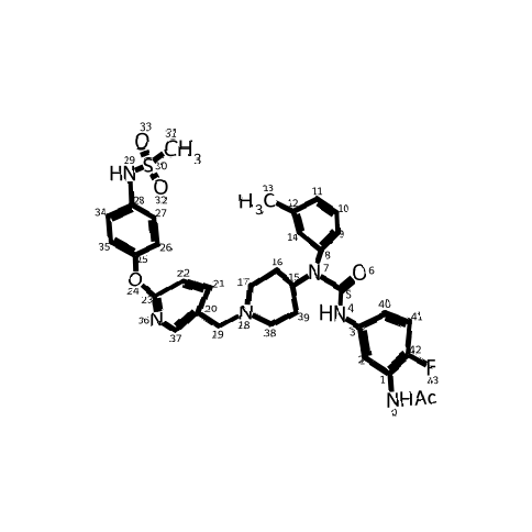 CC(=O)Nc1cc(NC(=O)N(c2cccc(C)c2)C2CCN(Cc3ccc(Oc4ccc(NS(C)(=O)=O)cc4)nc3)CC2)ccc1F